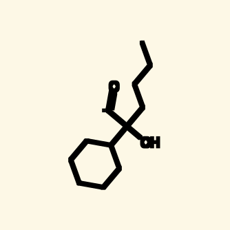 CCCCC(O)([C]=O)C1CCCCC1